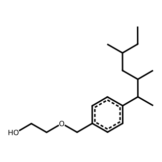 CCC(C)CC(C)C(C)c1ccc(COCCO)cc1